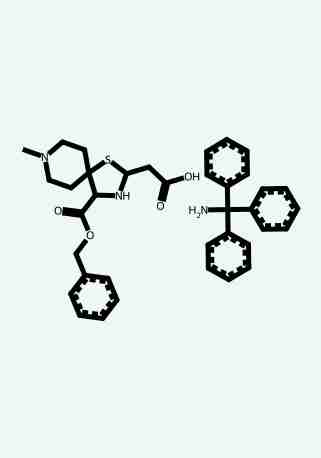 CN1CCC2(CC1)SC(CC(=O)O)NC2C(=O)OCc1ccccc1.NC(c1ccccc1)(c1ccccc1)c1ccccc1